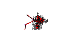 CCCCCCCC/C=C\CCCCCCCCCCCCCC(=O)N[C@@H](CO[C@@H]1OC(CO)[C@@H](O[C@@H]2OC(CO[C@@H]3OC(CO)[C@@H](O)[C@H](O[C@H]4OC(C)[C@@H](O)C(O)[C@@H]4O)C3NC(C)=O)[C@H](O)[C@H](O[C@@H]3OC(CO)[C@@H](O[C@H]4OC(C)[C@@H](O)C(O)[C@@H]4O)[C@H](O[C@@H]4OC(CO)[C@H](O)[C@H](O[C@]5(C(=O)O)CC(O)[C@@H](NC(C)=O)C([C@H](O)[C@H](O)CO)O5)C4O)C3NC(C)=O)C2O)[C@H](O)C1O)[C@H](O)/C=C/CCCCCCCCCCCCC